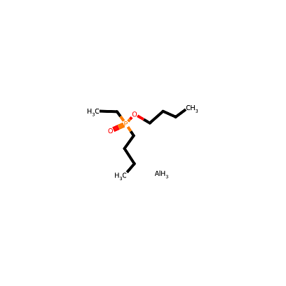 CCCCOP(=O)(CC)CCCC.[AlH3]